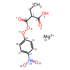 CCC(C(=O)O)C(=O)OOc1ccc([N+](=O)[O-])cc1.[Mg+2]